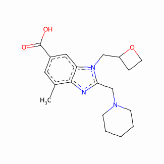 Cc1cc(C(=O)O)cc2c1nc(CN1CCCCC1)n2CC1CCO1